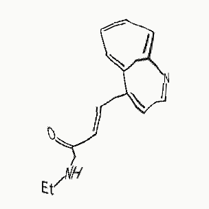 CCNC(=O)/C=C/c1ccnc2ccccc12